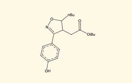 CCCCC1ON=C(c2ccc(O)cc2)C1CC(=O)OCC(C)C